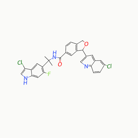 CC(C)(NC(=O)c1ccc2c(c1)C(c1cnc3ccc(Cl)cc3c1)OC2)c1cc2c(Cl)c[nH]c2cc1F